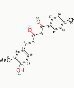 COc1cc(C=CC(=O)CC(=O)c2ccc(C#N)cc2)ccc1O